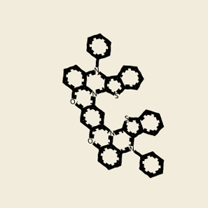 c1ccc(-n2c3cccc4oc5cc6oc7cccc8c7n(c6cc5n(c5sc6ccccc6c52)c43)c2sc3ccccc3c2n8-c2ccccc2)cc1